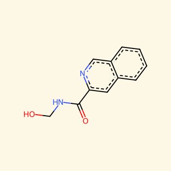 O=C(NCO)c1cc2ccccc2cn1